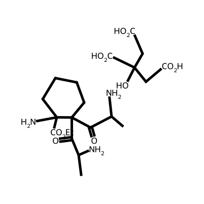 CCOC(=O)C1(N)CCCCC1(C(=O)C(C)N)C(=O)C(C)N.O=C(O)CC(O)(CC(=O)O)C(=O)O